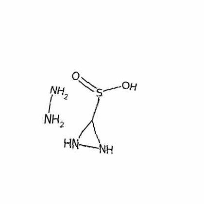 NN.O=S(O)C1NN1